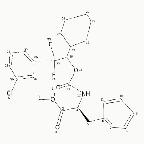 COC(=O)[C@H](Cc1ccccc1)NC(=O)OC(C1CCCCC1)C(F)(F)c1cccc(Cl)c1